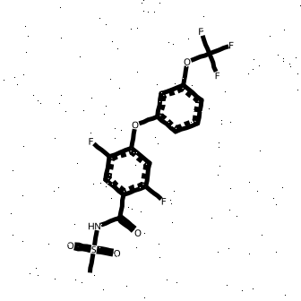 CS(=O)(=O)NC(=O)c1cc(F)c(Oc2cccc(OC(F)(F)F)c2)cc1F